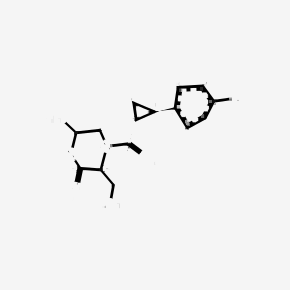 CCCC1CN(C(=O)[C@@H]2C[C@H]2c2ccc(Br)cc2)C(CC(C)C)C(=O)N1